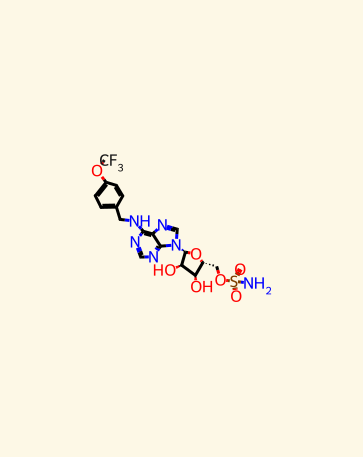 NS(=O)(=O)OC[C@H]1O[C@@H](n2cnc3c(NCc4ccc(OC(F)(F)F)cc4)ncnc32)[C@H](O)[C@@H]1O